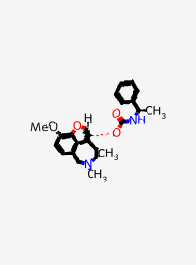 COc1ccc2c3c1O[C@@H]1C[C@H](OC(=O)N[C@H](C)c4ccccc4)C(C)[C@]31CCN(C)C2